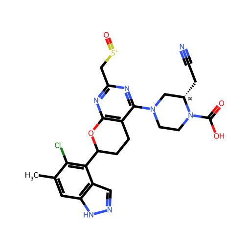 Cc1cc2[nH]ncc2c(C2CCc3c(nc(C[S+]=O)nc3N3CCN(C(=O)O)[C@@H](CC#N)C3)O2)c1Cl